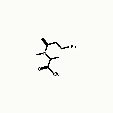 C=C(CCC(C)(C)C)N(C)C(C)C(=O)C(C)(C)C